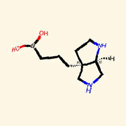 OB(O)CCC[C@]12CCN[C@H]1CNC2